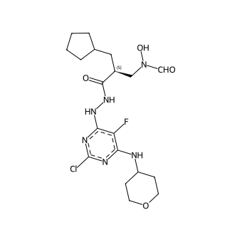 O=CN(O)C[C@H](CC1CCCC1)C(=O)NNc1nc(Cl)nc(NC2CCOCC2)c1F